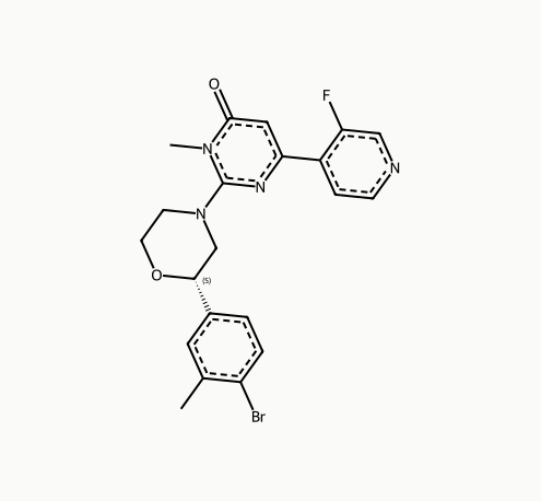 Cc1cc([C@H]2CN(c3nc(-c4ccncc4F)cc(=O)n3C)CCO2)ccc1Br